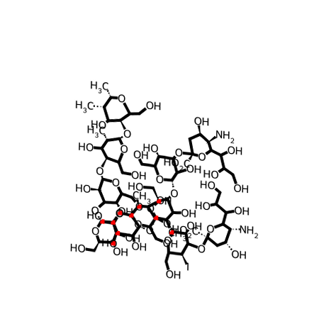 CC1C(O)[C@H](O[C@@H]2OC(CO)[C@H](O)C(O[C@]3(C(=O)O)C[C@@H](O)[C@@H](N)C(C(O)C(O)CO)O3)C2O)[C@H](CO)O[C@H]1O[C@@H]1C(O)[C@H](O)C(CO)O[C@@H]1OCC1O[C@@H](O[C@@H]2C(CO)O[C@@H](O[C@@H]3C(CO)O[C@@H](C)[C@@H](C)C3O)[C@@H](C)C2O)[C@H](O)C(O[C@H]2O[C@H](CO)[C@@H](O)C(O)C2O[C@@H]2OC(CO)[C@H](O[C@@H]3OC(CO)[C@H](I)C(O[C@]4(C(=O)O)C[C@@H](O)[C@@H](N)C(C(O)C(O)CO)O4)[C@@H]3O)C(O)[C@@H]2C)[C@@H]1O